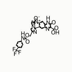 O=C(Nc1ccc(C(F)(F)F)cc1)OCc1c[nH]c(-c2cc3nc(C(=O)O)c(=O)[nH]c3cc2[N+](=O)[O-])n1